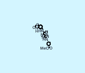 COC(=O)[C@H]1CC[C@H](CNc2n[nH]c3c(C(=O)NCc4ccc5c(c4)NC(=O)CO5)ncnc23)CC1